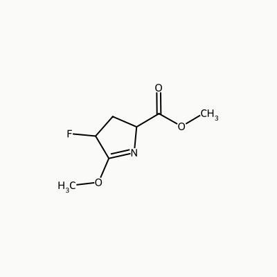 COC(=O)C1CC(F)C(OC)=N1